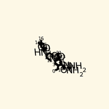 CCc1cc(N2CCC(NC(=O)OC(C)(C)C)CC2)c(S(C)(=O)=O)cc1C(=O)N=C(N)N